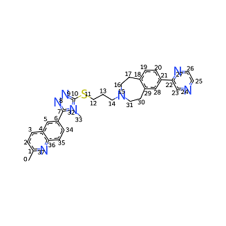 Cc1ccc2cc(-c3nnc(SCCCN4CCc5ccc(-c6cnccn6)cc5CC4)n3C)ccc2n1